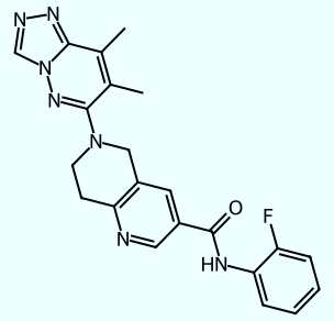 Cc1c(N2CCc3ncc(C(=O)Nc4ccccc4F)cc3C2)nn2cnnc2c1C